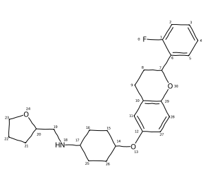 Fc1ccccc1C1CCc2cc(OC3CCC(NCC4CCCO4)CC3)ccc2O1